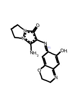 Nc1c(/N=C2\C=C3OCCN=C3C=C2O)c(=O)n2n1CCC2